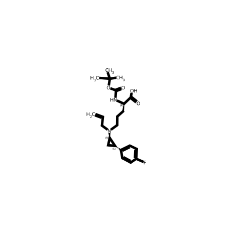 C=CCN(CCC[C@@H](NC(=O)OC(C)(C)C)C(=O)O)[C@@H]1C[C@H]1c1ccc(F)cc1